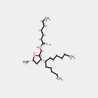 B[C@H]1C[C@@H](C(CCCCC)CCCCCC)C(COC(F)CCCCCC)O1